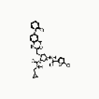 O=C(CN1C[C@H](NC(=O)c2ccc(Cl)s2)C[C@H]1C(=O)NCC1CC1)Nc1ccc(-n2ccccc2=O)cc1F